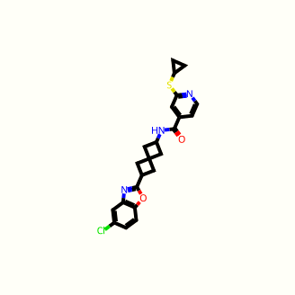 O=C(NC1CC2(C1)CC(c1nc3cc(Cl)ccc3o1)C2)c1ccnc(SC2CC2)c1